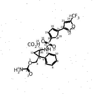 NC(=O)OC[C@@]1(c2ccccc2)C[C@]1(NS(=O)(=O)c1ccc(-c2cc(C(F)(F)F)on2)s1)C(=O)O